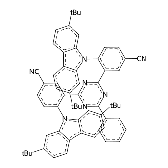 CC(C)(C)c1ccc2c3ccc(C(C)(C)C)cc3n(-c3ccc(C#N)cc3-c3nc(-c4ccccc4)nc(-c4cc(C#N)ccc4-n4c5cc(C(C)(C)C)ccc5c5ccc(C(C)(C)C)cc54)n3)c2c1